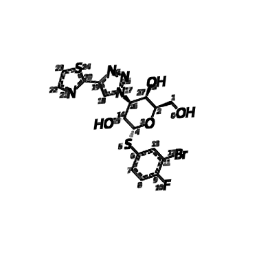 OC[C@H]1O[C@H](Sc2ccc(F)c(Br)c2)[C@H](O)[C@@H](n2cc(-c3nccs3)nn2)[C@H]1O